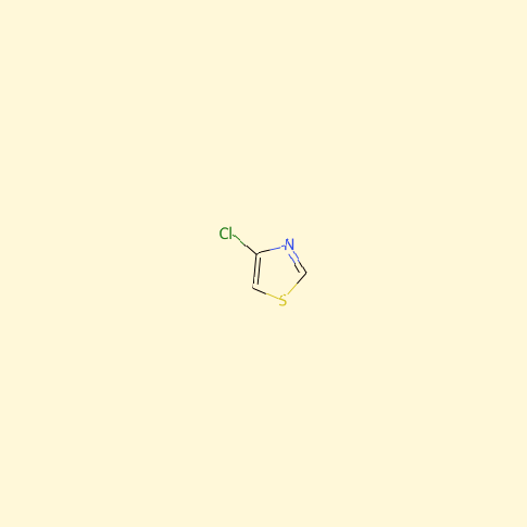 Clc1cscn1